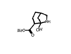 COC(=O)C1CCC2CNC1(O)C2